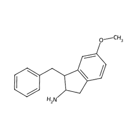 COc1ccc2c(c1)C(Cc1ccccc1)C(N)C2